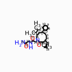 CCC(C)C[C@]1(c2ccccc2)CCCC(CC2CC2)C(C)C(=O)N(CC(=O)NCC(N)=O)CCC1